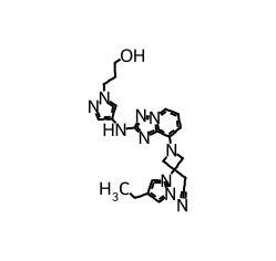 CCc1cnn(C2(CC#N)CN(c3cccn4nc(Nc5cnn(CCCO)c5)nc34)C2)c1